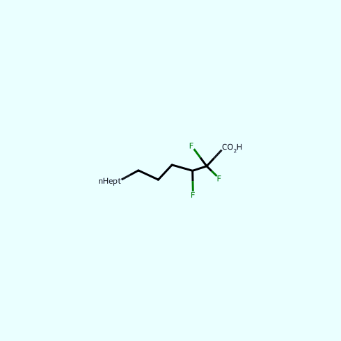 CCCCCCCCCCC(F)C(F)(F)C(=O)O